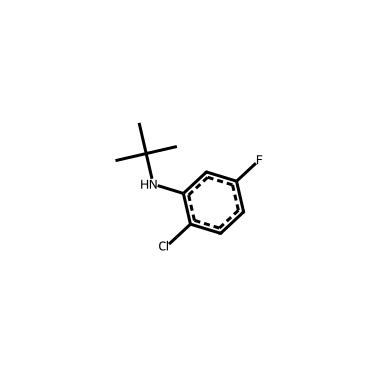 CC(C)(C)Nc1cc(F)ccc1Cl